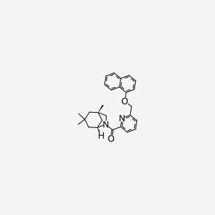 CC1(C)C[C@@H]2C[C@@](C)(CN2C(=O)c2cccc(COc3cccc4ccccc34)n2)C1